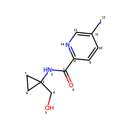 O=C(NC1(CO)CC1)c1ccc(I)cn1